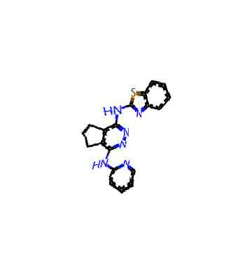 c1ccc(Nc2nnc(Nc3nc4ccccc4s3)c3c2CCC3)nc1